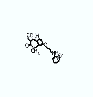 CN1Cc2cc(OCCCNc3cccc[n+]3[O-])ccc2CC(CC(=O)O)C1=O